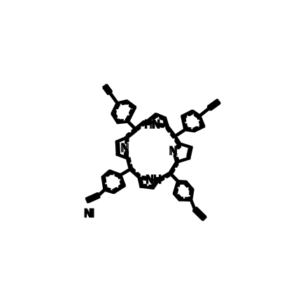 C#Cc1ccc(-c2c3nc(c(-c4ccc(C#C)cc4)c4ccc([nH]4)c(-c4ccc(C#C)cc4)c4nc(c(-c5ccc(C#C)cc5)c5ccc2[nH]5)C=C4)C=C3)cc1.[Ni]